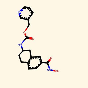 O=C(NC1CCc2ccc(C(=O)NO)cc2C1)OCc1cccnc1